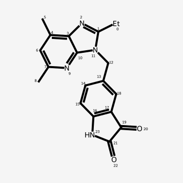 CCc1nc2c(C)cc(C)nc2n1Cc1ccc2c(c1)C(=O)C(=O)N2